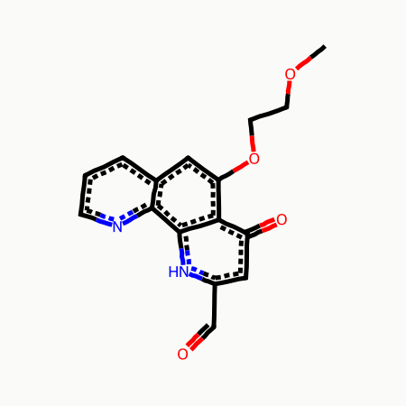 COCCOc1cc2cccnc2c2[nH]c(C=O)cc(=O)c12